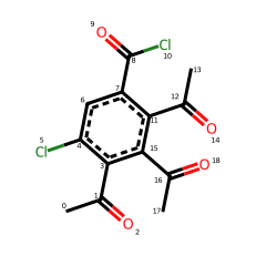 CC(=O)c1c(Cl)cc(C(=O)Cl)c(C(C)=O)c1C(C)=O